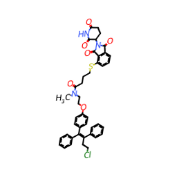 CN(CCOc1ccc(/C(=C(/CCCl)c2ccccc2)c2ccccc2)cc1)C(=O)CCCSc1cccc2c1C(=O)N(C1CCC(=O)NC1=O)C2=O